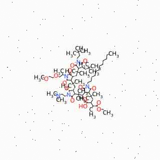 CCCCCCCCCCCCN1C(=O)C(CC(C)(C)C2C(=O)N(CCN(C)C)C(=O)C2CC(C)(C)C2C(=O)N(C(C)COCCOC)C(=O)C2CC(C)(C)C2C(=O)N(CCC(C)(C)C)C(=O)C2CC(C)(C)C)C(C(C)(C)CC(C(=O)O)C(C)C(=O)OCC)C1=O